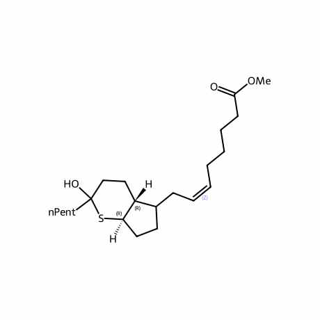 CCCCCC1(O)CC[C@@H]2C(C/C=C\CCCCC(=O)OC)CC[C@H]2S1